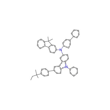 CCC(C)(C)c1ccc(-c2ccc3c(c2)c2cc(N(c4ccc(-c5ccccc5)cc4)c4ccc5c(c4)C(C)(C)c4ccccc4-5)ccc2n3-c2ccccc2)cc1